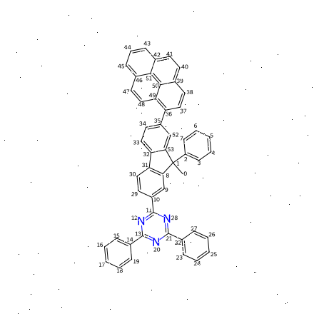 CC1(c2ccccc2)c2cc(-c3nc(-c4ccccc4)nc(-c4ccccc4)n3)ccc2-c2ccc(-c3ccc4ccc5cccc6ccc3c4c56)cc21